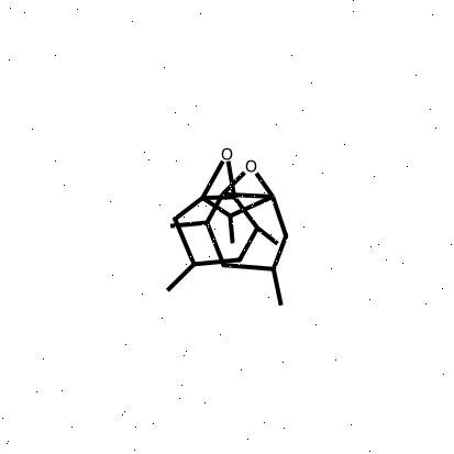 CC1CC(C)C2OC2(C(C)C23CC(C)CC(C)C2O3)C1